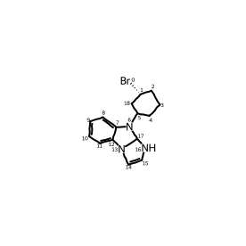 Br[C@@H]1CCCC(N2c3ccccc3N3C=CNC32)C1